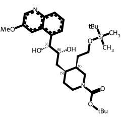 COc1cnc2cccc([C@@H](O)[C@H](O)C[C@@H]3CCN(C(=O)OC(C)(C)C)C[C@@H]3CCO[Si](C)(C)C(C)(C)C)c2c1